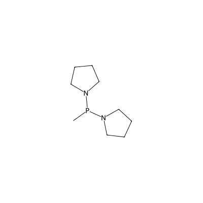 CP(N1CCCC1)N1CCCC1